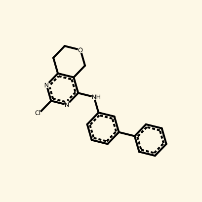 Clc1nc2c(c(Nc3cccc(-c4ccccc4)c3)n1)COCC2